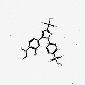 CCN(C)c1ccc(-c2cc(C(F)(F)F)nn2-c2ccc(S(N)(=O)=O)cc2)cc1F